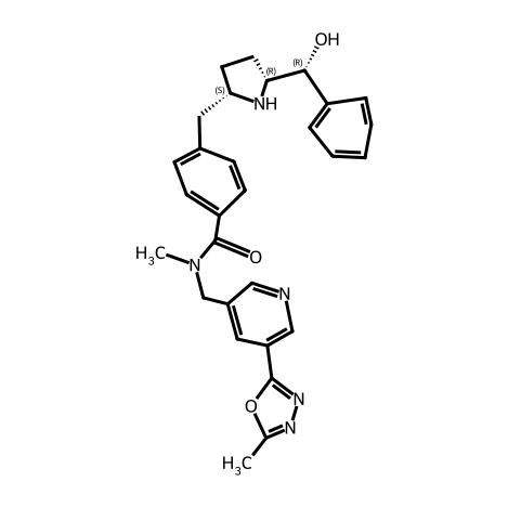 Cc1nnc(-c2cncc(CN(C)C(=O)c3ccc(C[C@@H]4CC[C@H]([C@H](O)c5ccccc5)N4)cc3)c2)o1